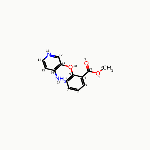 COC(=O)c1ccccc1Oc1cnccc1N